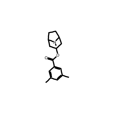 Cc1cc(C)cc(C(=O)OC2CC3CCC(C2)N3C)c1